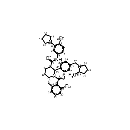 CCc1ccc(NC(=O)C2CCCN(C(=O)c3c(C)cccc3F)C2c2ccc(CN3CCCC3C(F)(F)F)cc2)cc1N1CCCC1